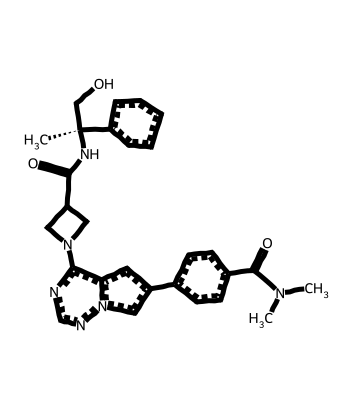 CN(C)C(=O)c1ccc(-c2cc3c(N4CC(C(=O)N[C@@](C)(CO)c5ccccc5)C4)ncnn3c2)cc1